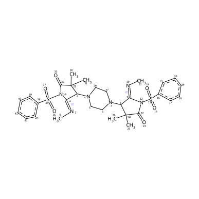 C/N=C1/C(N2CCN(C3/C(=N/C)N(S(=O)(=O)c4ccccc4)C(=O)C3(C)C)CC2)C(C)(C)C(=O)N1S(=O)(=O)c1ccccc1